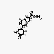 Cn1cc(-c2cn3cc(C(N)=O)nc3cn2)ccc1=O